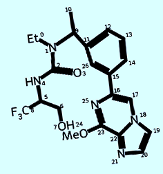 CCN(C(=O)NC(CO)C(F)(F)F)C(C)c1cccc(-c2cn3ccnc3c(OC)n2)c1